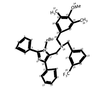 CCCCn1c(-c2ccccc2)nc(-c2ccccc2)c1CN(Cc1cccc(C(F)(F)F)c1)Cc1cc(C)c(OC)c(C)c1